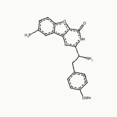 Bc1ccc2oc3c(=O)[nH]c(C(N)Cc4ccc(OC)cc4)nc3c2c1